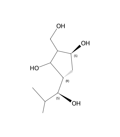 CC(C)[C@H](O)[C@H]1C[C@H](O)C(CO)C1O